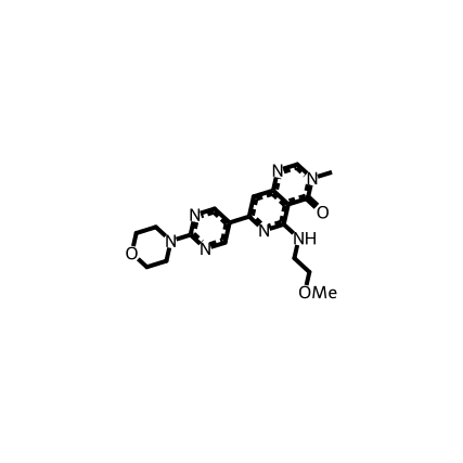 COCCNc1nc(-c2cnc(N3CCOCC3)nc2)cc2ncn(C)c(=O)c12